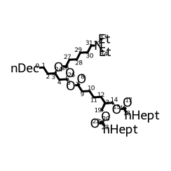 CCCCCCCCCCCCC(CCOC(=O)CCCCC(COC(=O)CCCCCCC)COC(=O)CCCCCCC)OC(=O)CCCCCN(CC)CC